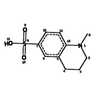 CN1CCCc2cc(S(=O)(=O)O)ccc21